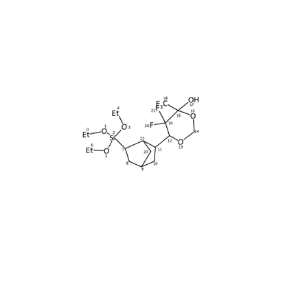 CCO[Si](OCC)(OCC)C1CC2CC(C3OCOC(O)(C(F)(F)F)C3(F)F)C1C2